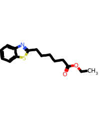 CCOC(=O)CCCCCc1nc2ccccc2s1